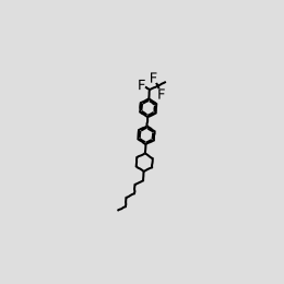 CCCCCCC1CCC(c2ccc(-c3ccc(C(F)C(C)(F)F)cc3)cc2)CC1